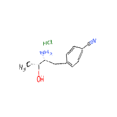 C[C@@H](O)[C@H](N)Cc1ccc(C#N)cc1.Cl